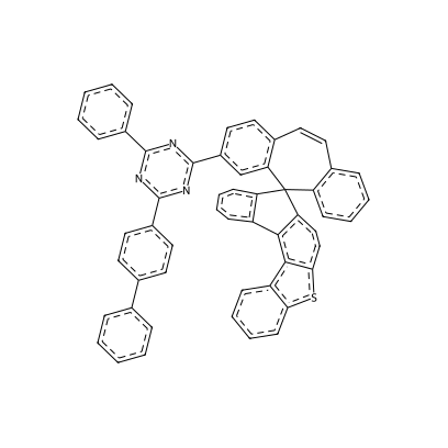 C1=Cc2ccc(-c3nc(-c4ccccc4)nc(-c4ccc(-c5ccccc5)cc4)n3)cc2C2(c3ccccc31)c1ccccc1-c1c2ccc2sc3ccccc3c12